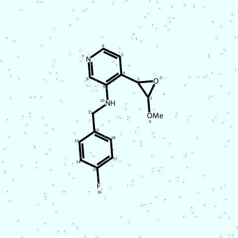 COC1OC1c1ccncc1NCc1ccc(F)cc1